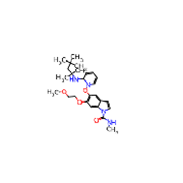 CNC(=O)n1ccc2cc(ON3C=CC=CC3NC(C)(C)CC(C)(C)C)c(OCCOC)cc21